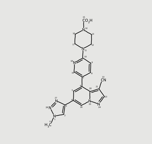 Cn1cc(-c2cc(-c3ccc(N4CCN(C(=O)O)CC4)nc3)c3c(C#N)cnn3c2)nn1